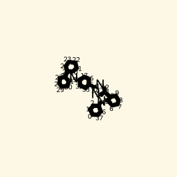 c1ccc(-n2c3ccccc3c3cnc(-c4ccc(-n5c6ccccc6c6ccccc65)cc4)nc32)cc1